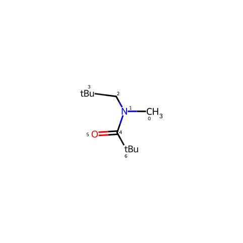 CN(CC(C)(C)C)C(=O)C(C)(C)C